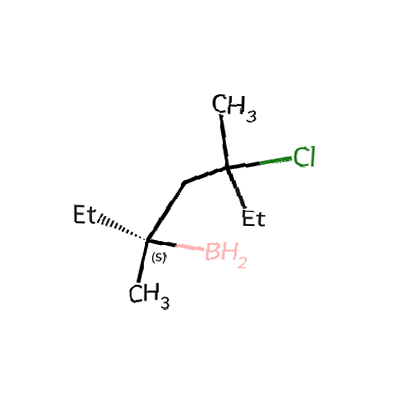 B[C@](C)(CC)CC(C)(Cl)CC